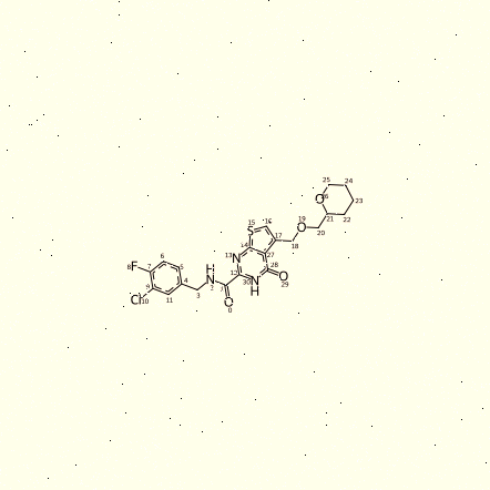 O=C(NCc1ccc(F)c(Cl)c1)c1nc2scc(COCC3CCCCO3)c2c(=O)[nH]1